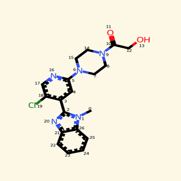 Cn1c(-c2cc(N3CCN(C(=O)CO)CC3)ncc2Cl)nc2ccccc21